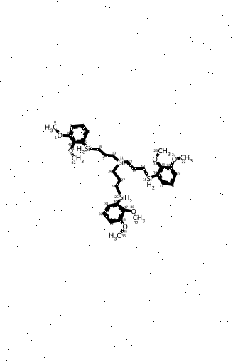 COc1cccc([SiH2]CCC[SiH](CCC[SiH2]c2cccc(OC)c2OC)CCC[SiH2]c2cccc(OC)c2OC)c1OC